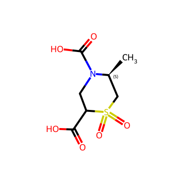 C[C@H]1CS(=O)(=O)C(C(=O)O)CN1C(=O)O